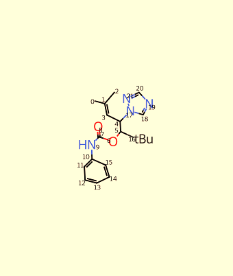 CC(C)=CC(C(OC(=O)Nc1ccccc1)C(C)(C)C)n1cncn1